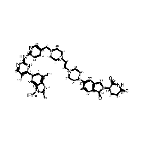 Cc1nc2c(F)cc(-c3nc(Nc4ccc(CN5CCN(CCN6CCN(c7ccc8c(c7)CN(C7CCC(=O)NC7=O)C8=O)CC6)CC5)cn4)ncc3F)cc2n1C(C)C